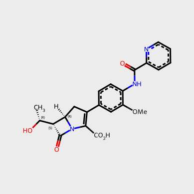 COc1cc(C2=C(C(=O)O)N3C(=O)[C@H]([C@@H](C)O)[C@H]3C2)ccc1NC(=O)c1ccccn1